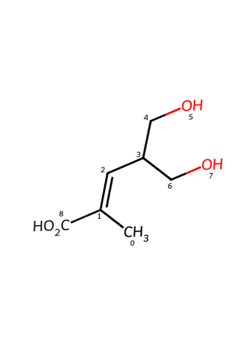 CC(=CC(CO)CO)C(=O)O